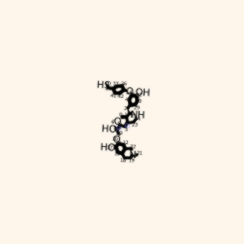 C=C1/C(=C\C(OC)=C(\O)COc2cc3c(cc2O)CCN(C)C3)CCN[C@@H]1Cc1ccc(O)c(Oc2ccc(CS)cc2)c1